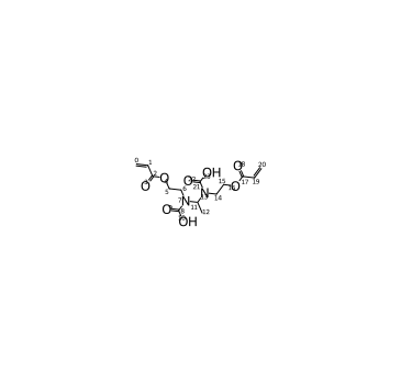 C=CC(=O)OCCN(C(=O)O)C(C)N(CCOC(=O)C=C)C(=O)O